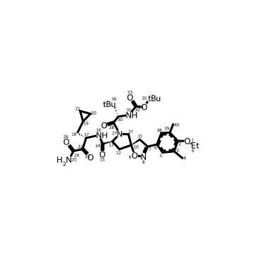 CCOc1c(C)cc(C2=NO[C@]3(C2)C[C@@H](C(=O)N[C@@H](CC2CC2)C(=O)C(N)=O)N(C(=O)[C@@H](NC(=O)OC(C)(C)C)C(C)(C)C)C3)cc1C